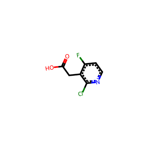 O=C(O)Cc1c(F)ccnc1Cl